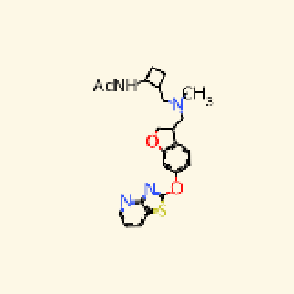 CC(=O)N[C@H]1CCC1CN(C)CC1COc2cc(Oc3nc4ncccc4s3)ccc21